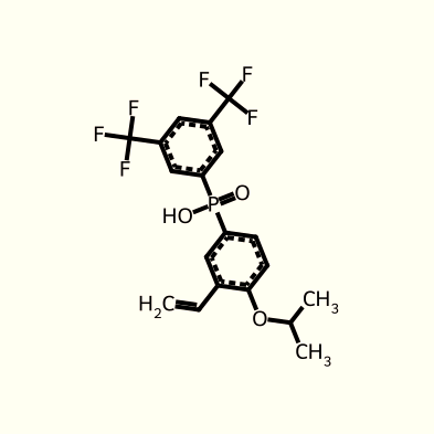 C=Cc1cc(P(=O)(O)c2cc(C(F)(F)F)cc(C(F)(F)F)c2)ccc1OC(C)C